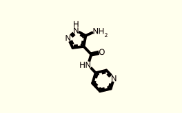 Nc1[nH]ncc1C(=O)Nc1cccnc1